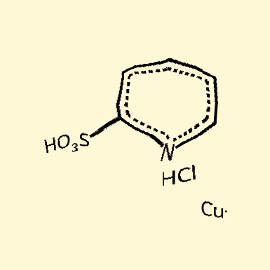 Cl.O=S(=O)(O)c1ccccn1.[Cu]